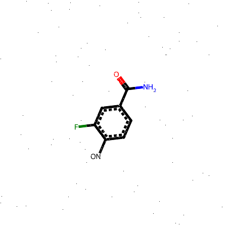 NC(=O)c1ccc(N=O)c(F)c1